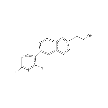 OCCc1ccc2cc(-c3ccc(F)nc3F)ccc2c1